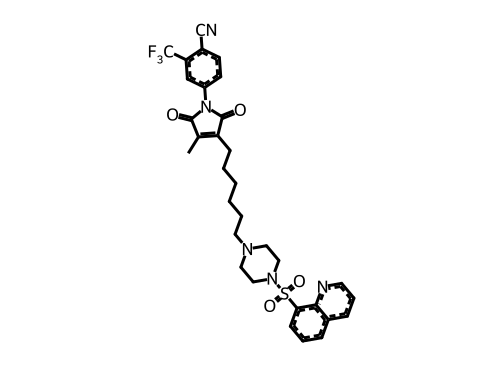 CC1=C(CCCCCCN2CCN(S(=O)(=O)c3cccc4cccnc34)CC2)C(=O)N(c2ccc(C#N)c(C(F)(F)F)c2)C1=O